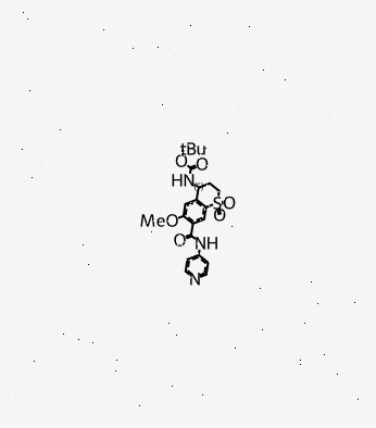 COc1cc2c(cc1C(=O)Nc1ccncc1)S(=O)(=O)CC[C@@H]2NC(=O)OC(C)(C)C